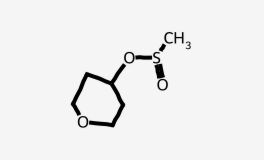 CS(=O)OC1CCOCC1